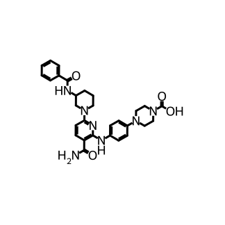 NC(=O)c1ccc(N2CCCC(NC(=O)c3ccccc3)C2)nc1Nc1ccc(N2CCN(C(=O)O)CC2)cc1